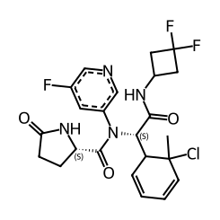 CC1(Cl)C=CC=CC1[C@@H](C(=O)NC1CC(F)(F)C1)N(C(=O)[C@@H]1CCC(=O)N1)c1cncc(F)c1